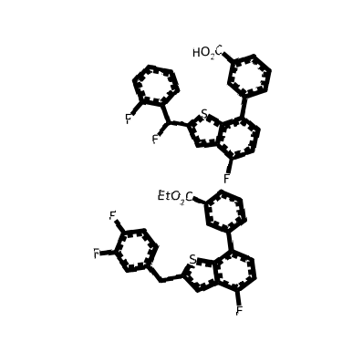 CCOC(=O)c1cccc(-c2ccc(F)c3cc(Cc4ccc(F)c(F)c4)sc23)c1.O=C(O)c1cccc(-c2ccc(F)c3cc(C(F)c4ccccc4F)sc23)c1